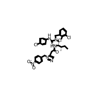 CC[C@H](C)[C@@H](CN(Cc1cccc(Cl)c1Cl)C(=S)Nc1ccc(Cl)cc1)NC(=O)Cc1cncn1Cc1ccc([N+](=O)[O-])cc1